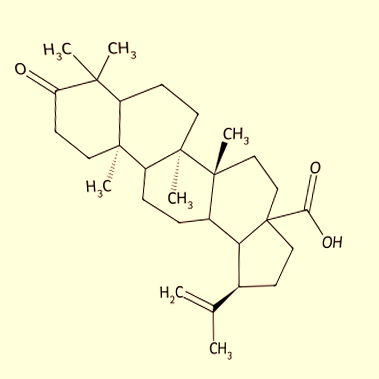 C=C(C)[C@@H]1CCC2(C(=O)O)CC[C@]3(C)C(CCC4[C@@]5(C)CCC(=O)C(C)(C)C5CC[C@]43C)C12